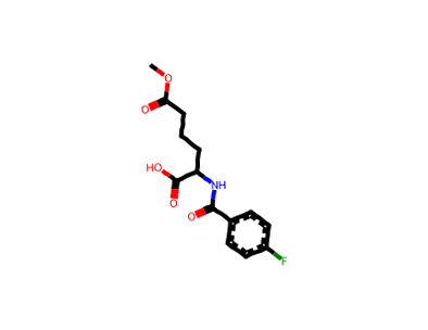 COC(=O)CCCC(NC(=O)c1ccc(F)cc1)C(=O)O